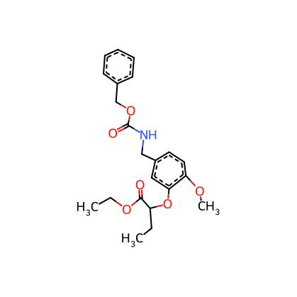 CCOC(=O)C(CC)Oc1cc(CNC(=O)OCc2ccccc2)ccc1OC